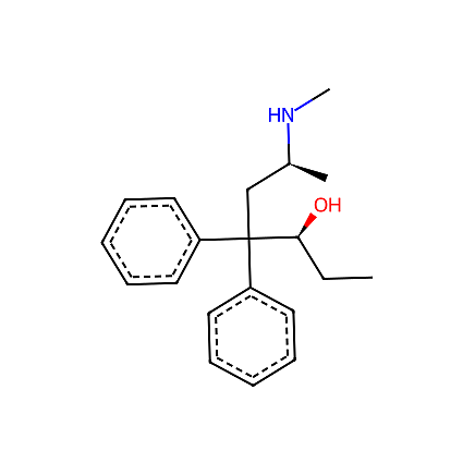 CC[C@H](O)C(C[C@H](C)NC)(c1ccccc1)c1ccccc1